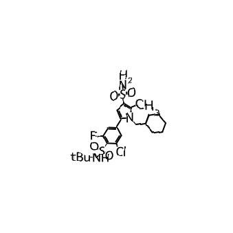 Cc1c(S(N)(=O)=O)cc(-c2cc(F)c(S(=O)(=O)NC(C)(C)C)c(Cl)c2)n1CC1CCCCC1